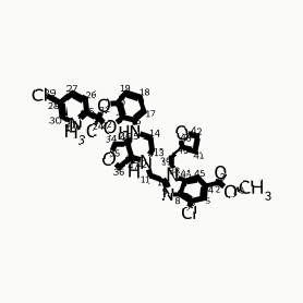 COC(=O)c1cc(Cl)c2nc(CN3CCN(c4cccc5c4O[C@](C)(c4ccc(Cl)cn4)O5)[C@H]4COC[C@H]43)n(C[C@@H]3CCO3)c2c1